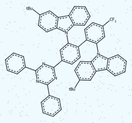 CC(C)(C)c1ccc2c(c1)c1ccccc1n2-c1cc(-c2nc(-c3ccccc3)nc(-c3ccccc3)n2)ccc1-c1ccc(C(F)(F)F)cc1-n1c2ccccc2c2cc(C(C)(C)C)ccc21